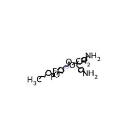 [CH2]C(COC(=O)/C=C/c1ccc(OC(F)(F)C2CCCC(CCC)C2)cc1)(Cc1ccc(N)cc1)Cc1ccc(N)cc1